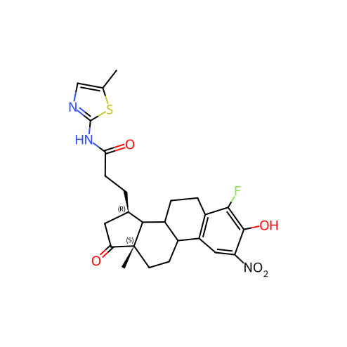 Cc1cnc(NC(=O)CC[C@@H]2CC(=O)[C@@]3(C)CCC4c5cc([N+](=O)[O-])c(O)c(F)c5CCC4C23)s1